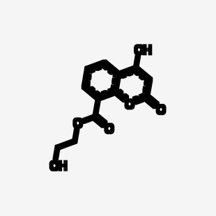 O=C(OCCO)c1cccc2c(O)cc(=O)oc12